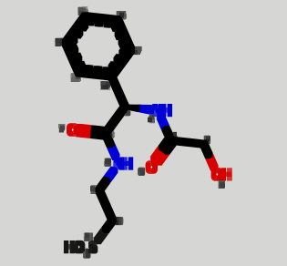 O=C(CO)N[C@@H](C(=O)NCCS(=O)(=O)O)c1ccccc1